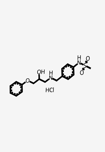 CS(=O)(=O)Nc1ccc(CNCC(O)COc2ccccc2)cc1.Cl